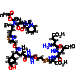 CCCC(=O)OCN(C(=O)[C@@H](NC(=O)[C@H]1CCCCN1C)C(C)CC)[C@H](CCc1nc(CON[C@@H](Cc2ccc(O)cc2)C[C@H](C)C(=O)NNOCCSSC[C@H](NC(=O)[C@H](CCC=O)NC(=O)[C@@H](N)CCC(=O)O)C(=O)O)cs1)C(C)C